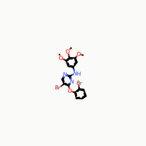 COc1cc(Nc2ncc(Br)c(Oc3ccccc3Br)n2)cc(OC)c1OC